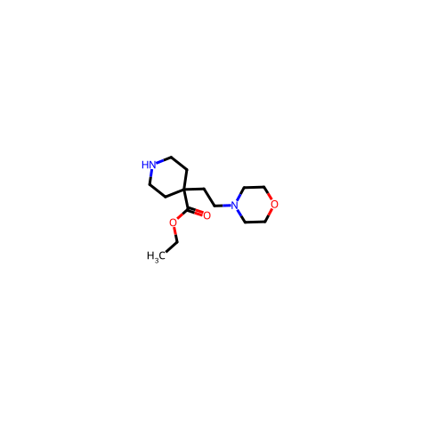 CCOC(=O)C1(CCN2CCOCC2)CCNCC1